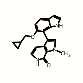 Cn1cc(-c2c(OCC3CC3)ccc3cc[nH]c23)c2cc[nH]c(=O)c21